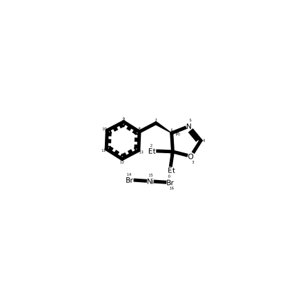 CCC1(CC)OC=N[C@@H]1Cc1ccccc1.[Br][Ni][Br]